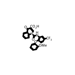 COc1ccccc1Oc1ccc(C(F)(F)F)cc1NC(=O)n1cc(C(=O)O)c(=O)c2ccccc21